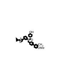 COc1ccc(C23CCC(CN(c4cccc(-c5cnc(C6CC6)s5)c4)C(=O)[C@H]4CC[C@H](O)CC4)(CC2)CC3)cc1C